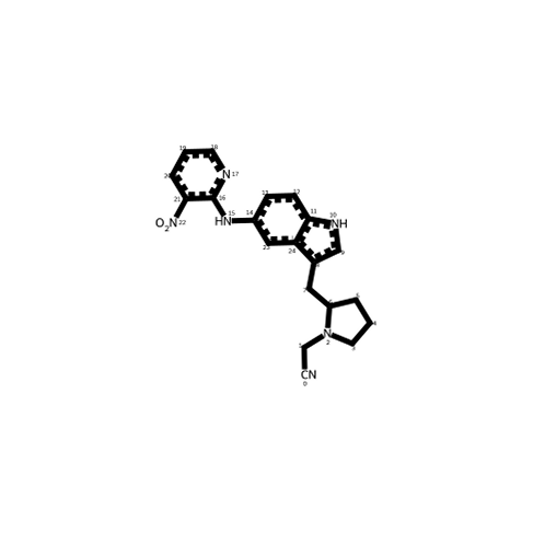 N#CCN1CCCC1Cc1c[nH]c2ccc(Nc3ncccc3[N+](=O)[O-])cc12